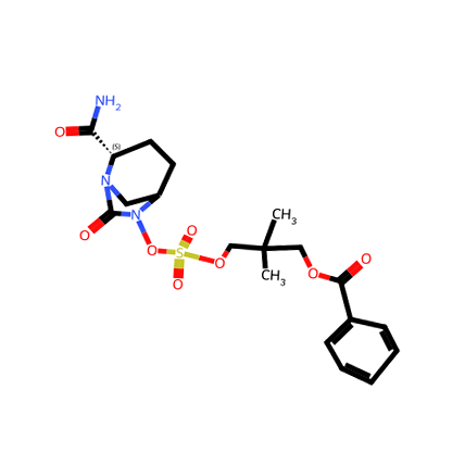 CC(C)(COC(=O)c1ccccc1)COS(=O)(=O)ON1C(=O)N2CC1CC[C@H]2C(N)=O